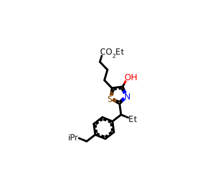 CCOC(=O)CCCc1sc(C(CC)c2ccc(CC(C)C)cc2)nc1O